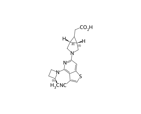 C[C@H]1CCN1c1nc(N2C[C@@H]3C(CC(=O)O)[C@@H]3C2)cc2scc(C#N)c12